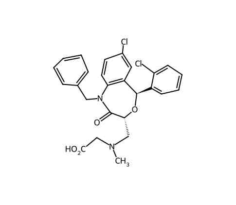 CN(CC(=O)O)C[C@H]1O[C@H](c2ccccc2Cl)c2cc(Cl)ccc2N(Cc2ccccc2)C1=O